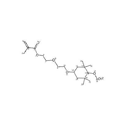 C=C(C)C(=O)OCCOCCOC1CC(C)(C)N(OCCCCCCCC)C(C)(C)C1